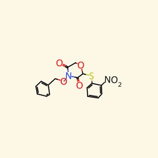 O=C1COC(Sc2ccccc2[N+](=O)[O-])C(=O)N1OCc1ccccc1